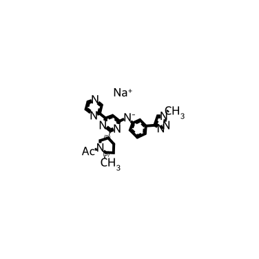 CC(=O)N1C[C@H](c2nc([N-]c3cccc(-c4cn(C)nn4)c3)cc(-c3cnccn3)n2)CC[C@@H]1C.[Na+]